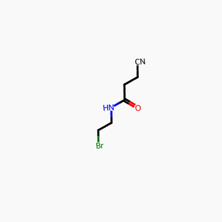 N#CCCC(=O)NCCBr